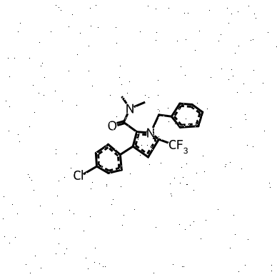 CN(C)C(=O)c1c(-c2ccc(Cl)cc2)cc(C(F)(F)F)n1Cc1ccccc1